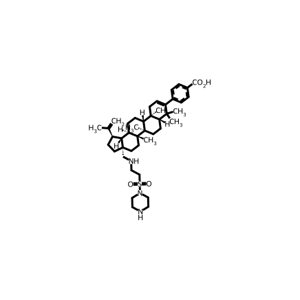 C=C(C)[C@@H]1CC[C@]2(CNCCS(=O)(=O)N3CCNCC3)CC[C@]3(C)[C@H](CC[C@@H]4[C@@]5(C)CC=C(c6ccc(C(=O)O)cc6)C(C)(C)[C@@H]5CC[C@]43C)[C@@H]12